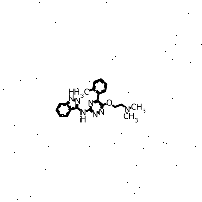 Cc1ccccc1-c1nc(Nc2n[nH]c3ccccc23)nnc1OCCN(C)C